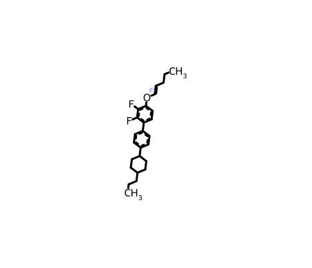 CCC/C=C/Oc1ccc(-c2ccc(C3CCC(CCC)CC3)cc2)c(F)c1F